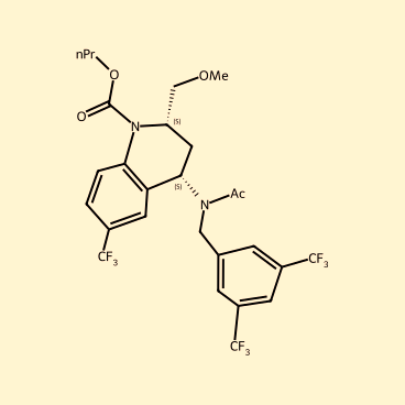 CCCOC(=O)N1c2ccc(C(F)(F)F)cc2[C@@H](N(Cc2cc(C(F)(F)F)cc(C(F)(F)F)c2)C(C)=O)C[C@H]1COC